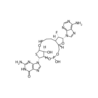 Nc1nc2c(ncn2[C@@H]2SC3OPCC[C@H]4[C@H](F)[C@H](n5cnc6c(N)ncnc65)O[C@@H]4COP(O)O[C@@H]2[C@@H]3O)c(=O)[nH]1